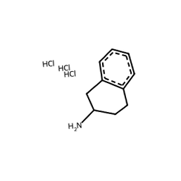 Cl.Cl.Cl.NC1CCc2ccccc2C1